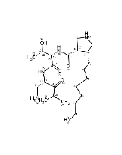 CCCCCCCC[C@H]1CNC[C@H]1C(=O)N[C@H](C(=O)N[C@@H](CN)C(=O)C(C)C)[C@H](C)O